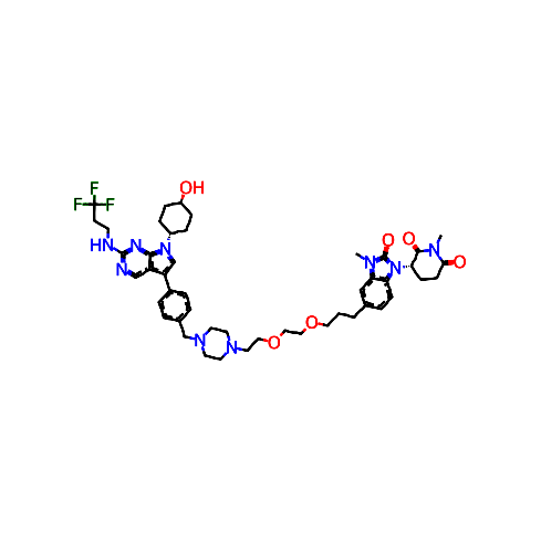 CN1C(=O)CC[C@H](n2c(=O)n(C)c3cc(CCCOCCOCCN4CCN(Cc5ccc(-c6cn([C@H]7CC[C@H](O)CC7)c7nc(NCCC(F)(F)F)ncc67)cc5)CC4)ccc32)C1=O